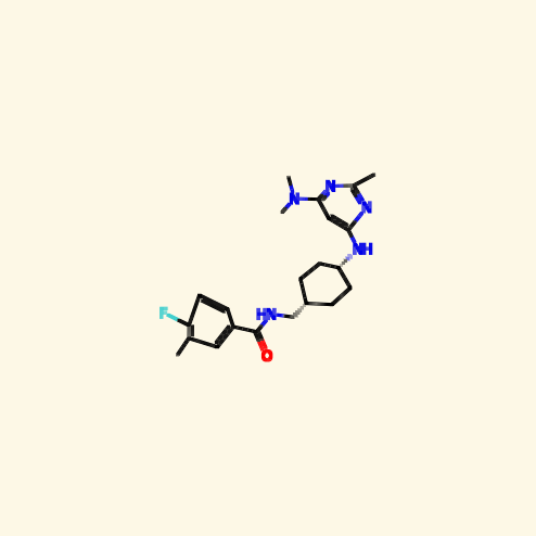 Cc1nc(N[C@H]2CC[C@@H](CNC(=O)c3ccc(F)c(C)c3)CC2)cc(N(C)C)n1